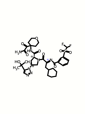 CC(C)(O)c1cnnn1[C@H]1C[C@@H](C(=O)NC2(C(=O)C(N)=O)CCOCC2)N(C(=O)/C(CC2CCCCC2)=N/C(=O)c2cccc(S(=O)(=O)C(F)F)c2)C1